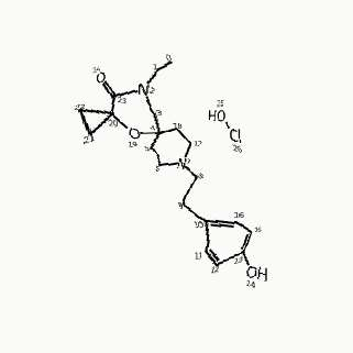 CCN1CC2(CCN(CCc3ccc(O)cc3)CC2)OC2(CC2)C1=O.OCl